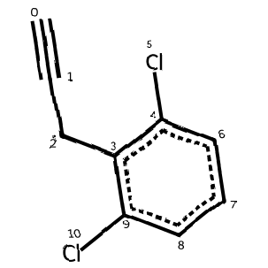 C#C[CH]c1c(Cl)cccc1Cl